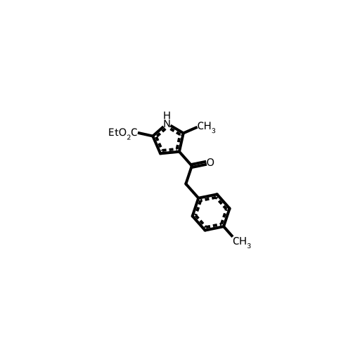 CCOC(=O)c1cc(C(=O)Cc2ccc(C)cc2)c(C)[nH]1